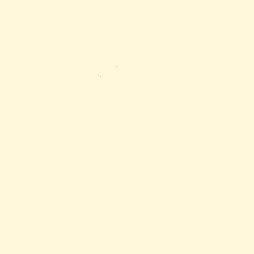 Cc1ccc2c(c1)C(c1ccccc1)(c1ccccc1)c1cc(-c3ccc4cc(-c5nc6ccccc6n5-c5ccccc5)ccc4c3)ccc1-2